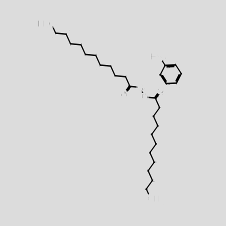 CCCCCCCCCCCC(=O)OOC(=O)CCCCCCCCCCC.Sc1ccccc1